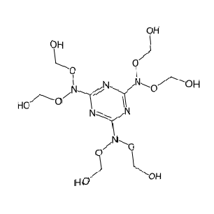 OCON(OCO)c1nc(N(OCO)OCO)nc(N(OCO)OCO)n1